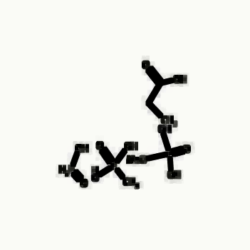 CCC(=O)O.COP(=O)(O)O.CP(=O)(O)O.O=[PH2]O